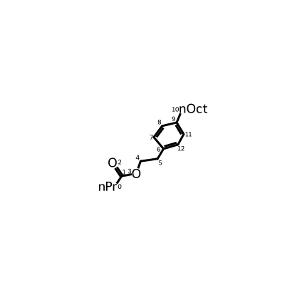 [CH2]CCC(=O)OCCc1ccc(CCCCCCCC)cc1